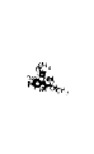 CCOC(=O)c1cnc2cc(F)c(Br)cc2c1NC1CC(OC)C1